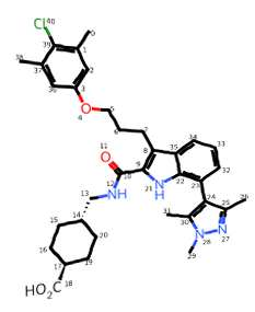 Cc1cc(OCCCc2c(C(=O)NC[C@H]3CC[C@H](C(=O)O)CC3)[nH]c3c(-c4c(C)nn(C)c4C)cccc23)cc(C)c1Cl